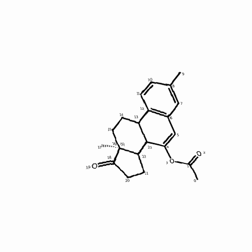 CC(=O)OC1=Cc2cc(C)ccc2C2CC[C@]3(C)C(=O)CCC3C12